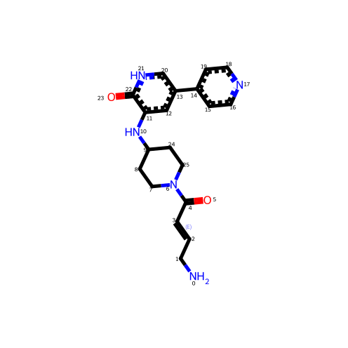 NC/C=C/C(=O)N1CCC(Nc2cc(-c3ccncc3)c[nH]c2=O)CC1